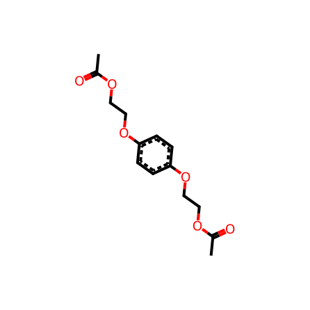 CC(=O)OCCOc1ccc(OCCOC(C)=O)cc1